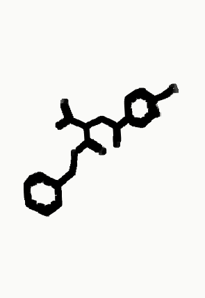 CC(=O)C(CC(=O)c1ccc(Cl)cc1)C(=O)OCc1ccccc1